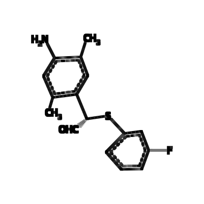 Cc1cc([C@@H](C=O)Sc2cccc(F)c2)c(C)cc1N